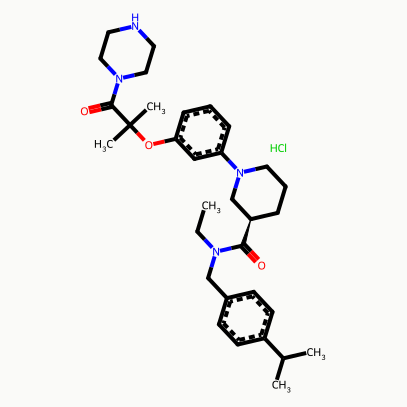 CCN(Cc1ccc(C(C)C)cc1)C(=O)[C@@H]1CCCN(c2cccc(OC(C)(C)C(=O)N3CCNCC3)c2)C1.Cl